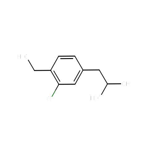 CCc1ccc(CC(C)C)cc1Cl